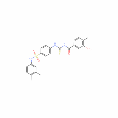 Bc1cc(C(=O)NC(=S)Nc2ccc(S(=O)(=O)Nc3ccc(C)c(C)c3)cc2)ccc1C